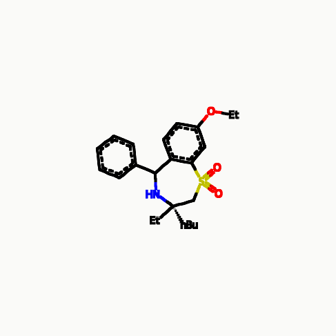 CCCC[C@@]1(CC)CS(=O)(=O)c2cc(OCC)ccc2C(c2ccccc2)N1